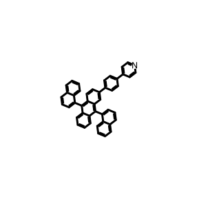 c1ccc2c(-c3c4ccccc4c(-c4cccc5ccccc45)c4cc(-c5ccc(-c6ccncc6)cc5)ccc34)cccc2c1